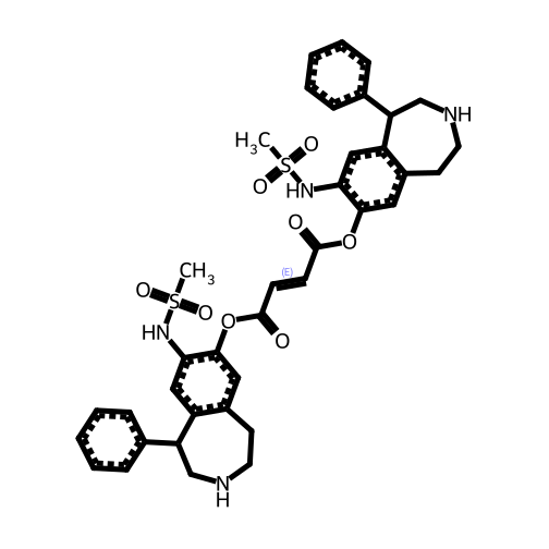 CS(=O)(=O)Nc1cc2c(cc1OC(=O)/C=C/C(=O)Oc1cc3c(cc1NS(C)(=O)=O)C(c1ccccc1)CNCC3)CCNCC2c1ccccc1